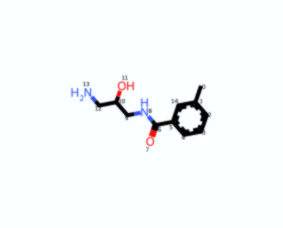 Cc1cccc(C(=O)NCC(O)CN)c1